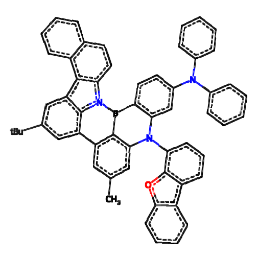 Cc1cc2c3c(c1)N(c1cccc4c1oc1ccccc14)c1cc(N(c4ccccc4)c4ccccc4)ccc1B3n1c3ccc4ccccc4c3c3cc(C(C)(C)C)cc-2c31